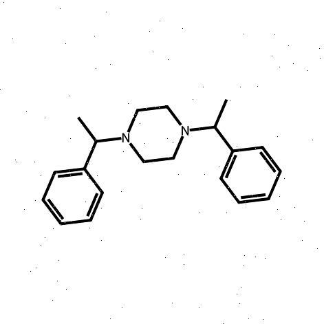 CC(c1ccccc1)N1CCN(C(C)c2ccccc2)CC1